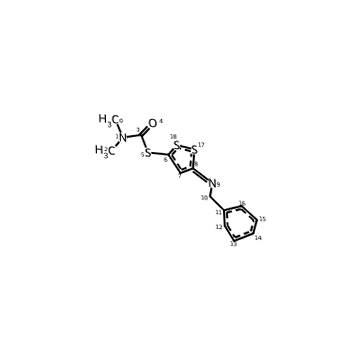 CN(C)C(=O)Sc1cc(=NCc2ccccc2)ss1